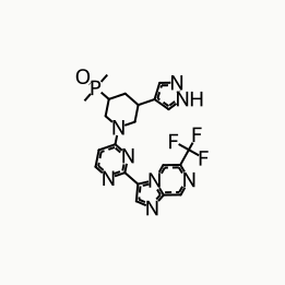 CP(C)(=O)C1CC(c2cn[nH]c2)CN(c2ccnc(-c3cnc4cnc(C(F)(F)F)cn34)n2)C1